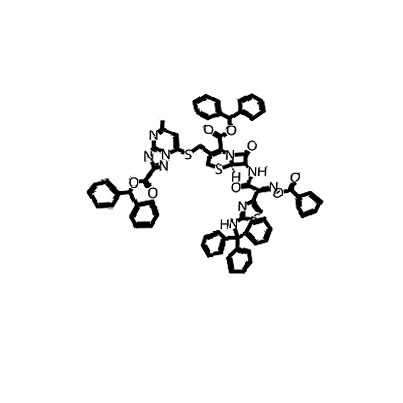 Cc1cc(SCC2=C(C(=O)OC(c3ccccc3)c3ccccc3)N3C(=O)[C@@H](NC(=O)C(=NOC(=O)c4ccccc4)c4csc(NC(c5ccccc5)(c5ccccc5)c5ccccc5)n4)[C@H]3SC2)n2nc(C(=O)OC(c3ccccc3)c3ccccc3)nc2n1